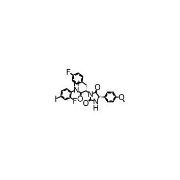 COc1ccc([C@H]2NC(=O)N([C@@H](Cc3ccc(F)cc3)C(=O)Nc3ccc(I)cc3F)C2=O)cc1